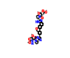 COC(=O)C[C@H](C(=O)N1CCC[C@H]1c1nc2ccc3cc4c(cc3c2[nH]1)OCc1cc(-c2cnc([C@@H]3CCCN3C(=O)[C@@H](NC(=O)OC)[C@@H](C)OC)[nH]2)ccc1-4)[C@@H](C)OC